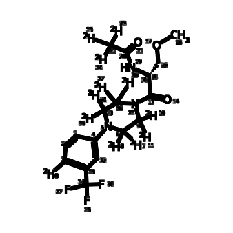 [2H]c1ccc(N2C([2H])([2H])C([2H])([2H])N(C(=O)[C@@H](COC)NC(=O)C([2H])([2H])[2H])C([2H])([2H])C2([2H])[2H])cc1C(F)(F)F